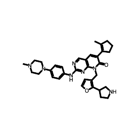 CC1=C(c2cc3cnc(Nc4ccc(N5CCN(C)CC5)cc4)nc3n(Cc3ccoc3C3CCNC3)c2=O)CCC1